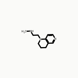 CNCCN1CCCc2cnccc21